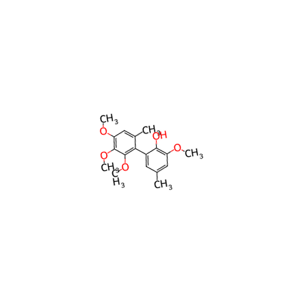 COc1cc(C)cc(-c2c(C)cc(OC)c(OC)c2OC)c1O